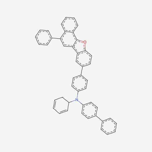 C1=CCC(N(c2ccc(-c3ccccc3)cc2)c2ccc(-c3ccc4oc5c6ccccc6c(-c6ccccc6)cc5c4c3)cc2)C=C1